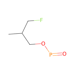 CC(CF)COP=O